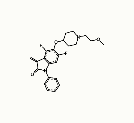 C=C1C(=O)N(c2ccccc2)c2cc(F)c(OC3CCN(CCOC)CC3)c(F)c21